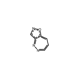 C1=CC=c2oncc2=NN=1